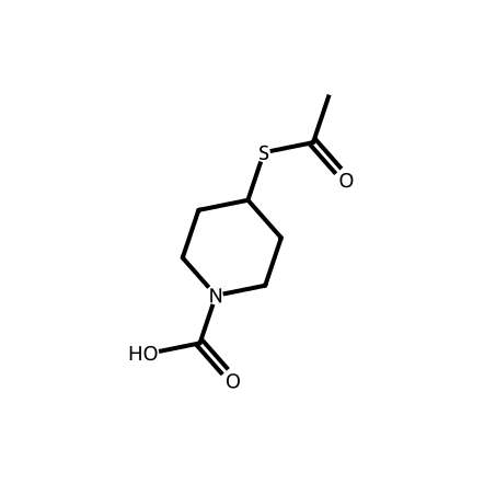 CC(=O)SC1CCN(C(=O)O)CC1